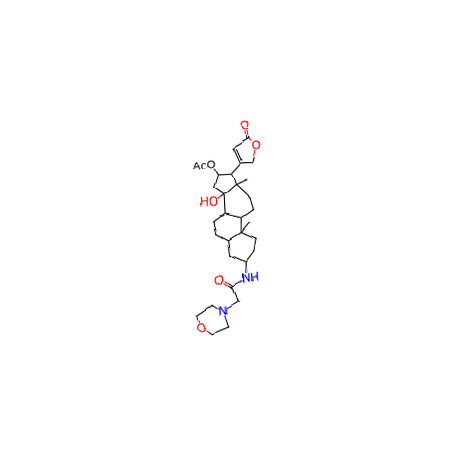 CC(=O)OC1CC2(O)C3CCC4CC(NC(=O)CN5CCOCC5)CCC4(C)C3CCC2(C)C1C1=CC(=O)OC1